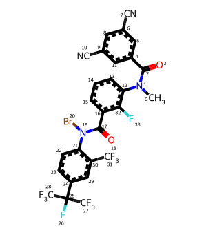 CN(C(=O)c1cc(C#N)cc(C#N)c1)c1cccc(C(=O)N(Br)c2ccc(C(F)(C(F)(F)F)C(F)(F)F)cc2C(F)(F)F)c1F